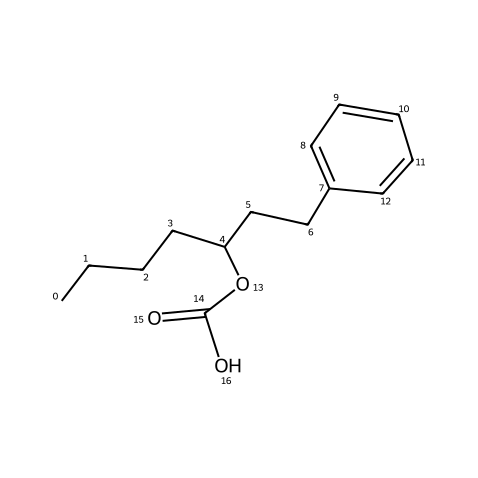 CCCCC(CCc1ccccc1)OC(=O)O